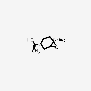 C=C(C)[C@H]1CC[C@@]2(C=O)OC2C1